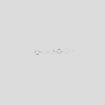 CCCC1CCC(c2ccc(C3=CCC(C4CCC(c5cc(F)c(OCF)c(F)c5)CC4)CC3)cc2)CC1